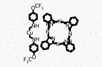 FC(F)(F)Oc1ccc(N[CH2][Cu][CH2]Nc2ccc(OC(F)(F)F)cc2)cc1.c1ccc2c(c1)-c1nc-2nc2[nH]c(nc3nc(nc4[nH]c(n1)c1ccccc41)-c1ccccc1-3)c1ccccc21